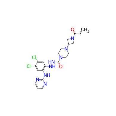 C=CC(=O)N1CC(N2CCN(C(=O)NNc3cc(Cl)c(Cl)cc3Nc3ncccn3)CC2)C1